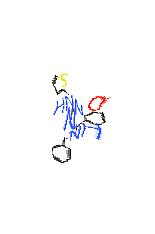 COc1cccc2c(NCc3ccccc3)nc(NCc3cccs3)nc12